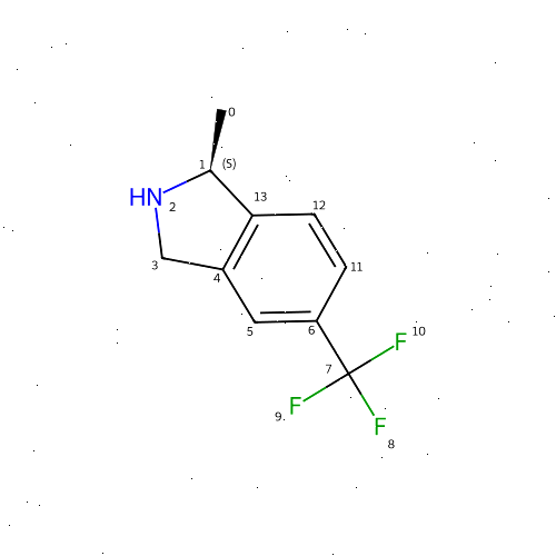 C[C@@H]1NCc2cc(C(F)(F)F)ccc21